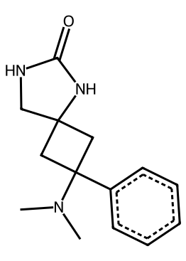 CN(C)C1(c2ccccc2)CC2(CNC(=O)N2)C1